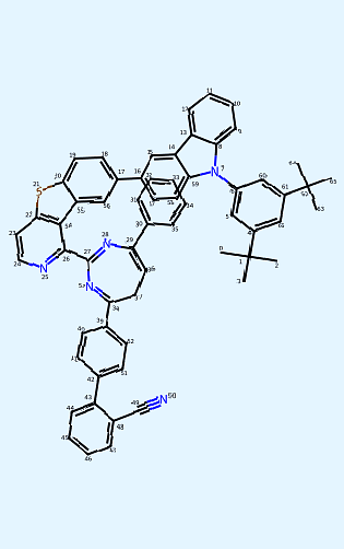 CC(C)(C)c1cc(-n2c3ccccc3c3cc(-c4ccc5sc6ccnc(C7=NC(c8ccccc8)=CCC(c8ccc(-c9ccccc9C#N)cc8)=N7)c6c5c4)ccc32)cc(C(C)(C)C)c1